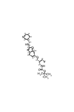 CC(C)(C)OC(=O)NCC(=CF)COc1ccc2nc(NCc3cccnc3)oc2c1